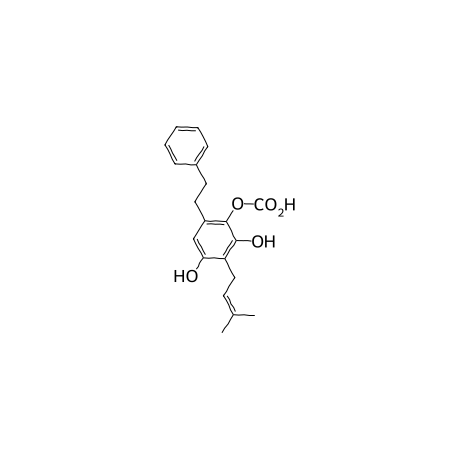 CC(C)=CCc1c(O)cc(CCc2ccccc2)c(OC(=O)O)c1O